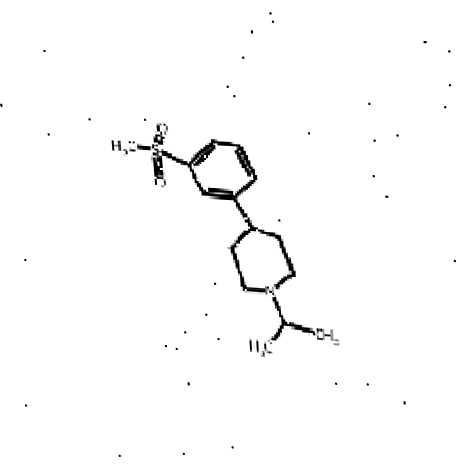 CC(C)N1CCC(c2cccc(S(C)(=O)=O)c2)CC1